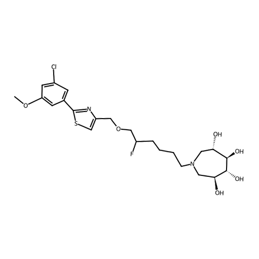 COc1cc(Cl)cc(-c2nc(COCC(F)CCCCN3C[C@H](O)[C@@H](O)[C@H](O)[C@@H](O)C3)cs2)c1